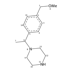 COCc1ccc(C(C)N2CCNCC2)cc1